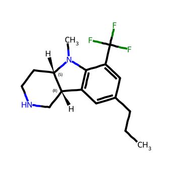 CCCc1cc2c(c(C(F)(F)F)c1)N(C)[C@H]1CCNC[C@@H]21